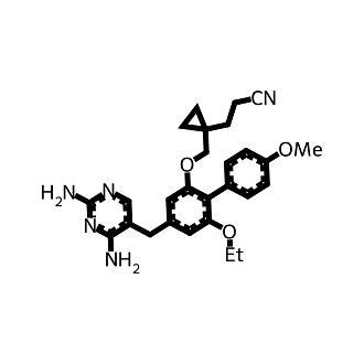 CCOc1cc(Cc2cnc(N)nc2N)cc(OCC2(CCC#N)CC2)c1-c1ccc(OC)cc1